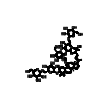 C[C@H](CC[C@@H](O[C@@H]1O[C@H](CO[C@@H]2O[C@H](CO)[C@@H](O)[C@H](O)[C@H]2O)[C@@H](O)[C@H](O)[C@H]1OC1O[C@@H](CO)[C@H](O)[C@@H](O)[C@@H]1O)C(C)(C)O)C1CC[C@@]2(C)C3CC=C4C(CC[C@H](O[C@@H]5O[C@H](CO[C@@H]6O[C@H](CO)[C@@H](O)[C@H](O)[C@H]6O)[C@@H](O)[C@H](O)[C@H]5O)C4(C)C)[C@]3(C)[C@H](OC=O)C[C@]12C